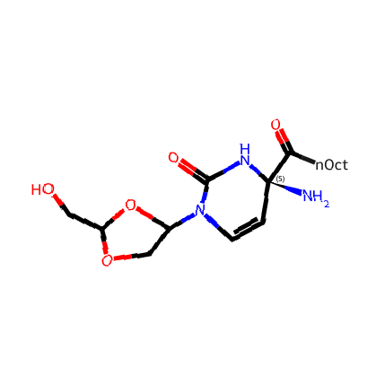 CCCCCCCCC(=O)[C@]1(N)C=CN(C2COC(CO)O2)C(=O)N1